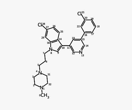 CN1CCN(CCCn2cc(-c3cncc(-c4cccc(Cl)c4)c3)c3ccc(Cl)cc32)CC1